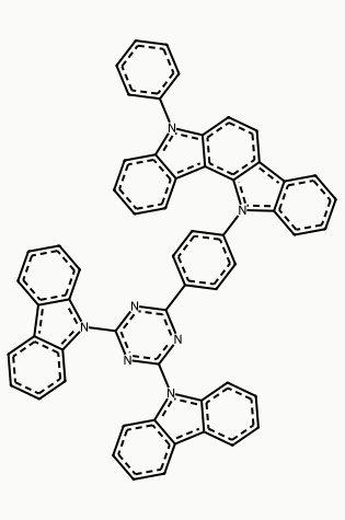 c1ccc(-n2c3ccccc3c3c2ccc2c4ccccc4n(-c4ccc(-c5nc(-n6c7ccccc7c7ccccc76)nc(-n6c7ccccc7c7ccccc76)n5)cc4)c23)cc1